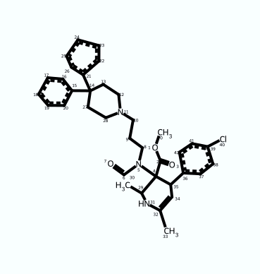 COC(=O)C1(N(C=O)CCCN2CCC(c3ccccc3)(c3ccccc3)CC2)C(C)NC(C)=CC1c1ccc(Cl)cc1